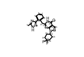 Cc1nc(-c2ccccc2Cc2nc3c(cnn3C3CCC(F)(F)CC3)c(=O)[nH]2)n[nH]1